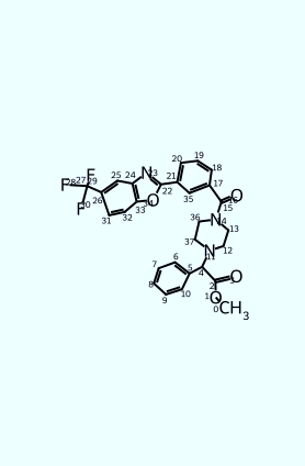 COC(=O)C(c1ccccc1)N1CCN(C(=O)c2cccc(-c3nc4cc(C(F)(F)F)ccc4o3)c2)CC1